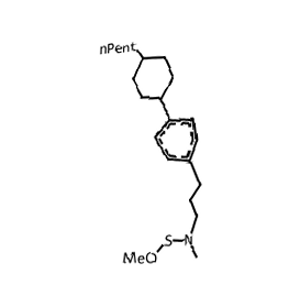 CCCCCC1CCC(c2ccc(CCCN(C)SOC)cc2)CC1